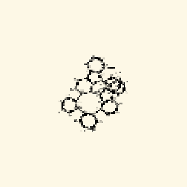 Cc1cccc2c3c(n(-c4cccc[n+]4C)c12)C1C(C=C3)c2ccccc2-c2ccccc2-c2cccc3c4ccccc4n1c23